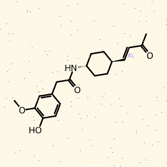 COc1cc(CC(=O)N[C@H]2CC[C@H](/C=C/C(C)=O)CC2)ccc1O